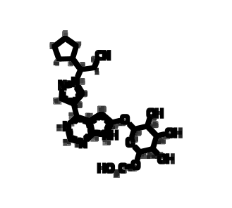 N#CCC(C1CCCC1)n1cc(-c2ncnc3[nH]c(OC4OC(OC(=O)O)C(O)C(O)C4O)cc23)cn1